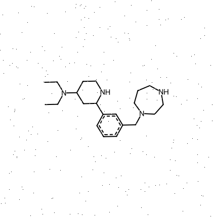 CCN(CC)C1CCNC(c2cccc(CN3CCCNCC3)c2)C1